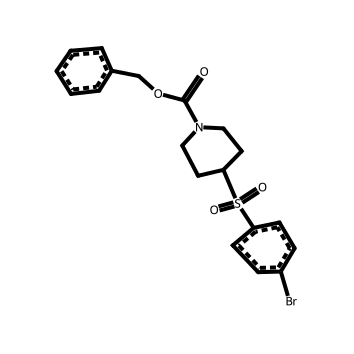 O=C(OCc1ccccc1)N1CCC(S(=O)(=O)c2ccc(Br)cc2)CC1